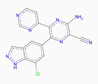 N#Cc1nc(-c2cc(Cl)c3[nH]ncc3c2)c(-c2ccncn2)nc1N